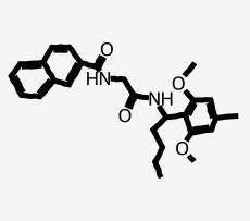 CCCCC(NC(=O)CNC(=O)c1ccc2ccccc2c1)c1c(OC)cc(C)cc1OC